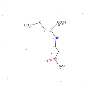 COC(=O)CCNC(CCC(=O)O)C(=O)O